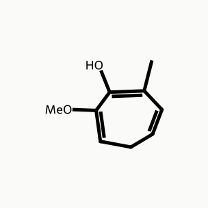 COC1=CCC=CC(C)=C1O